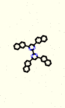 c1ccc2cc(-c3cc(-c4ccc5ccccc5c4)nc(-c4nc(-c5ccc6ccccc6c5)cc(-c5ccc6ccccc6c5)n4)n3)ccc2c1